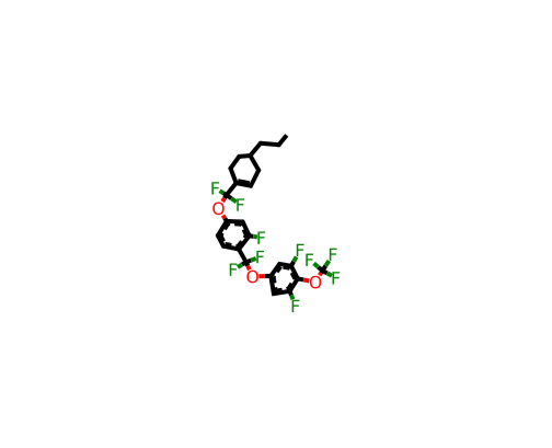 CCCC1CC=C(C(F)(F)Oc2ccc(C(F)(F)Oc3cc(F)c(OC(F)(F)F)c(F)c3)c(F)c2)CC1